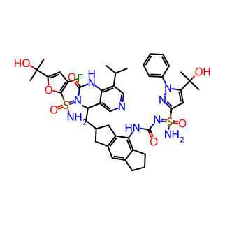 CC(C)c1cncc(C(C)CC2Cc3cc4c(c(NC(=O)N=S(N)(=O)c5cc(C(C)(C)O)n(-c6ccccc6)n5)c3C2)CCC4)c1NC(=O)N=S(N)(=O)c1oc(C(C)(C)O)cc1F